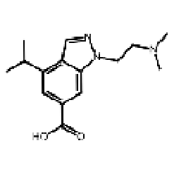 CC(C)c1cc(C(=O)O)cc2c1cnn2CCN(C)C